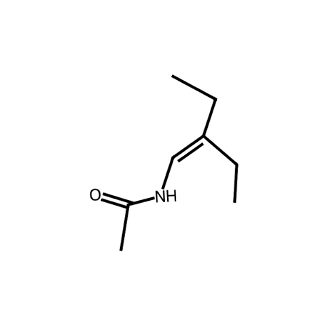 CCC(=CNC(C)=O)CC